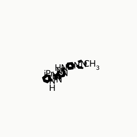 CC(C)n1c(Nc2ccccc2)nc2cnc(Nc3ccc(N4CCN(C)CC4)cc3)nc21